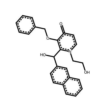 O=c1ccn(CCO)c(C(O)c2ccc3ccccc3c2)c1OCc1ccccc1